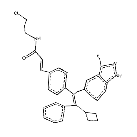 O=C(/C=C/c1ccc(/C(=C(\c2ccccc2)C2CCC2)c2ccc3[nH]nc(F)c3c2)cc1)NCCCl